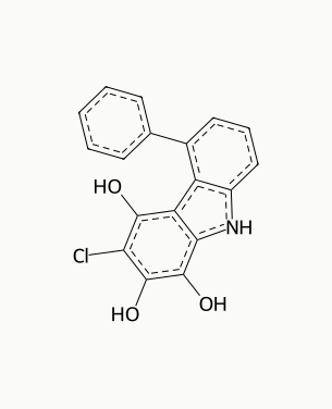 Oc1c(Cl)c(O)c2c([nH]c3cccc(-c4ccccc4)c32)c1O